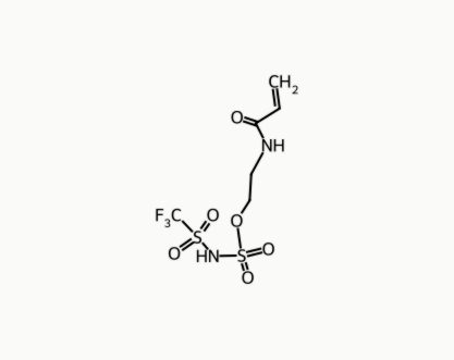 C=CC(=O)NCCOS(=O)(=O)NS(=O)(=O)C(F)(F)F